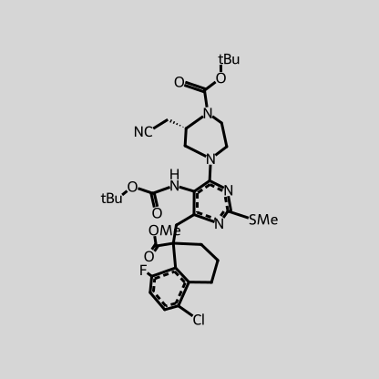 COC(=O)C1(Cc2nc(SC)nc(N3CCN(C(=O)OC(C)(C)C)[C@@H](CC#N)C3)c2NC(=O)OC(C)(C)C)CCCc2c(Cl)ccc(F)c21